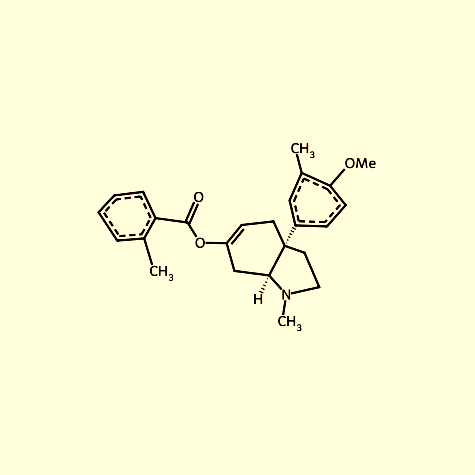 COc1ccc([C@@]23CC=C(OC(=O)c4ccccc4C)C[C@@H]2N(C)CC3)cc1C